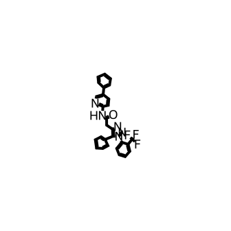 O=C(Cc1nnn(-c2ccccc2C(F)(F)F)c1-c1ccccc1)Nc1ccc(-c2ccccc2)cn1